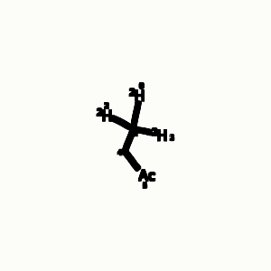 [2H]C([2H])([2H])CC(C)=O